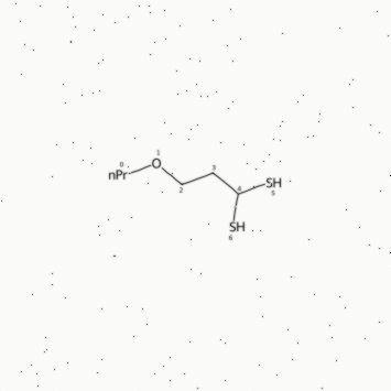 CCCOCCC(S)S